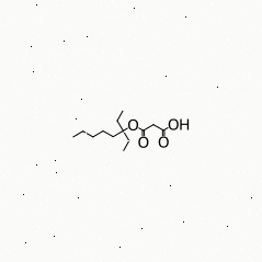 CCCCCC(CC)(CC)OC(=O)CC(=O)O